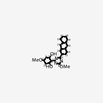 COc1cc(O)c(-c2nc(OC)nc(-c3ccc4cc5ccccc5cc4c3)n2)c(O)c1